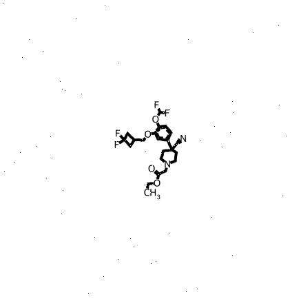 CCOC(=O)CN1CCC(C#N)(c2ccc(OC(F)F)c(OCC3CC(F)(F)C3)c2)CC1